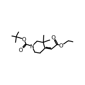 CCOC(=O)/C=C1/CCN(C(=O)OC(C)(C)C)CC1(C)C